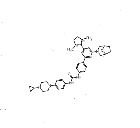 C[C@@H]1CC[C@H](C)N1c1nc(-c2ccc(NC(=O)Nc3ccc(N4CCN(C5CC5)CC4)cc3)cc2)nc(N2CC3CCC(C2)O3)n1